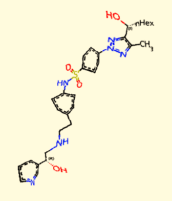 CCCCCC[C@@H](O)c1nn(-c2ccc(S(=O)(=O)Nc3ccc(CCNC[C@H](O)c4cccnc4)cc3)cc2)nc1C